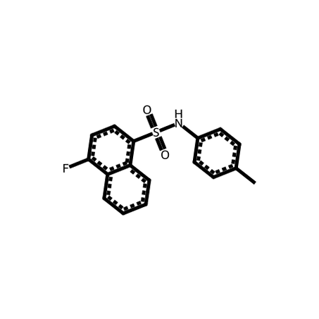 Cc1ccc(NS(=O)(=O)c2ccc(F)c3ccccc23)cc1